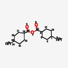 CCCC1CCC(C(=O)OC(=O)C2CCC(CCC)CC2)CC1